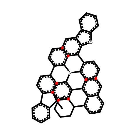 CC1(C)c2ccccc2-c2ccc(-c3ccccc3N(c3ccccc3-c3cccc4c3oc3ccccc34)c3ccccc3-c3cccc4cccc(C5CCCCC5)c34)cc21